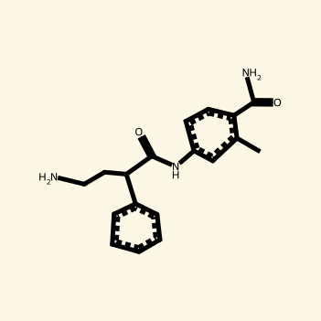 Cc1cc(NC(=O)C(CCN)c2ccccc2)ccc1C(N)=O